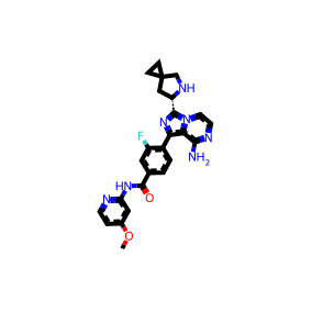 COc1ccnc(NC(=O)c2ccc(-c3nc([C@@H]4CC5(CC5)CN4)n4ccnc(N)c34)c(F)c2)c1